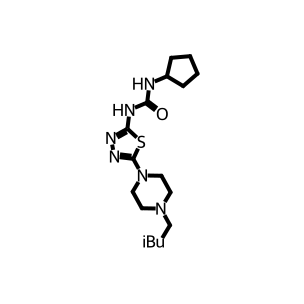 CCC(C)CN1CCN(c2nnc(NC(=O)NC3CCCC3)s2)CC1